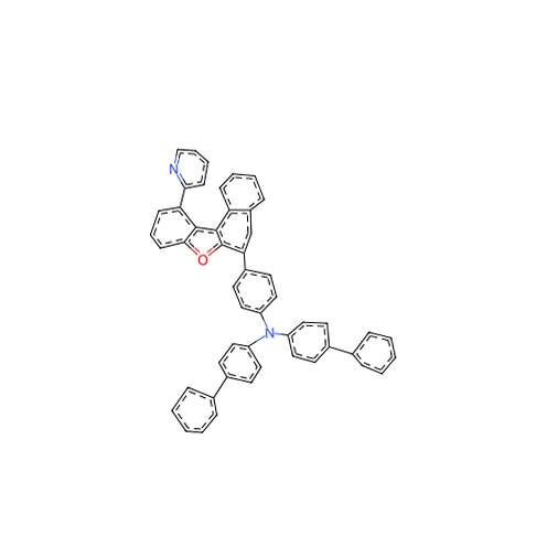 c1ccc(-c2ccc(N(c3ccc(-c4ccccc4)cc3)c3ccc(-c4cc5ccccc5c5c4oc4cccc(-c6ccccn6)c45)cc3)cc2)cc1